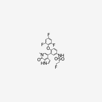 Cn1cc(-c2cc(NS(=O)(=O)CCF)ccc2Oc2c(F)cc(F)cc2F)c2cc[nH]c2c1=O